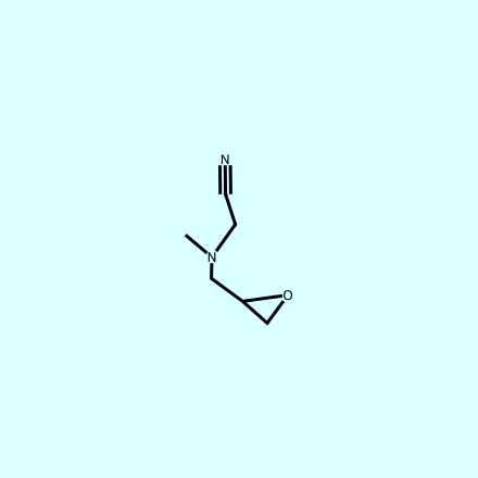 CN(CC#N)CC1CO1